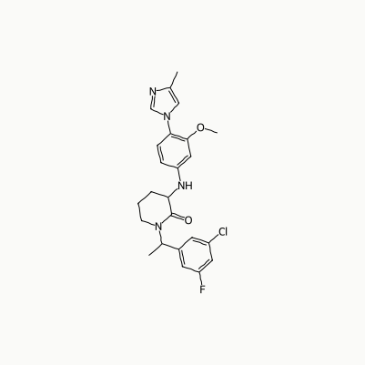 COc1cc(NC2CCCN(C(C)c3cc(F)cc(Cl)c3)C2=O)ccc1-n1cnc(C)c1